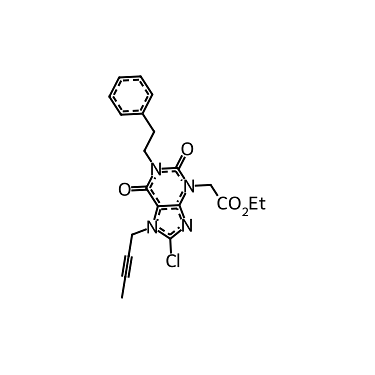 CC#CCn1c(Cl)nc2c1c(=O)n(CCc1ccccc1)c(=O)n2CC(=O)OCC